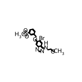 COCCNc1ncnc2cc(OCc3cccc(S(C)(=O)=O)c3)c(Br)cc12